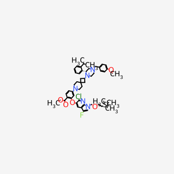 COC(=O)c1ccc(N2CCC3(CC2)CC(N2CCN(Cc4ccc(OC)cc4)C[C@H]2c2ccccc2C(C)C)C3)cc1Oc1cc2c(F)cn(COCC[Si](C)(C)C)c2nc1Cl